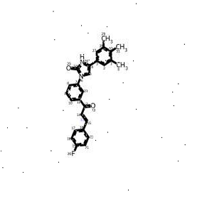 Cc1cc(-c2cn(-c3cccc(C(=O)/C=C/c4ccc(F)cc4)c3)c(=O)[nH]2)cc(C)c1C